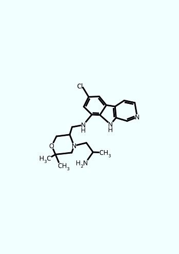 CC(N)CN1CC(C)(C)OCC1CNc1cc(Cl)cc2c1[nH]c1cnccc12